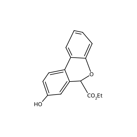 CCOC(=O)C1Oc2ccccc2-c2ccc(O)cc21